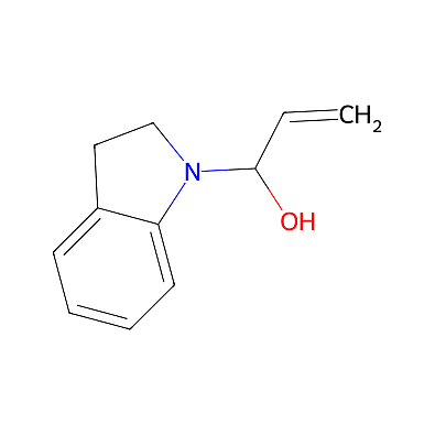 C=CC(O)N1CCc2ccccc21